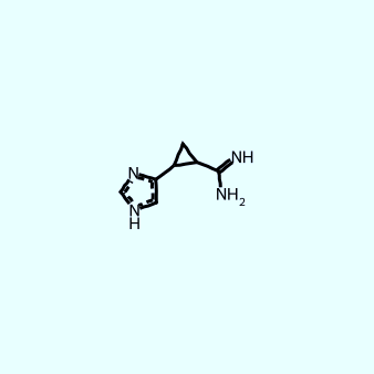 N=C(N)C1CC1c1c[nH]cn1